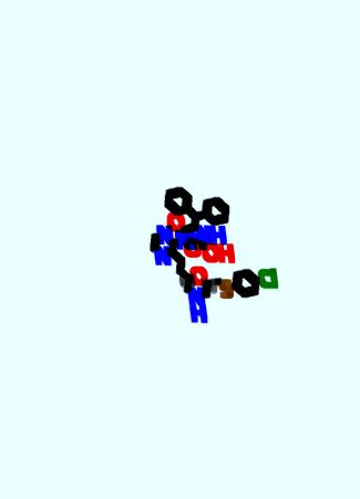 O=C(O)NC(C(=O)Nc1nccnc1CC[C@@H]1CNC[C@@H](CSc2ccc(Cl)cc2)O1)C(c1ccccc1)c1ccccc1